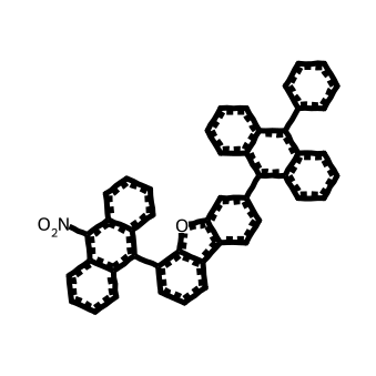 O=[N+]([O-])c1c2ccccc2c(-c2cccc3c2oc2cc(-c4c5ccccc5c(-c5ccccc5)c5ccccc45)ccc23)c2ccccc12